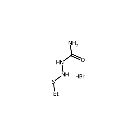 Br.CCSNNC(N)=O